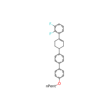 CCCCCOc1ccc(-c2ccc(C3CC=C(c4cccc(F)c4F)CC3)cc2)cc1